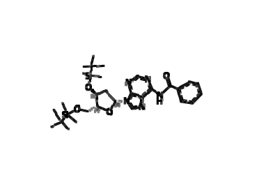 CC(C)(C)[Si](C)(C)OC[C@H]1O[C@@H](n2cnc3c(NC(=O)c4ccccc4)ncnc32)C[C@@H]1O[Si](C)(C)C(C)(C)C